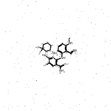 CNc1cccc(Nc2nc(N[C@H]3[C@@H](N)CCCC3(F)F)c(F)cc2C(N)=O)c1C=N